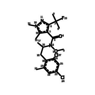 CON(C(=O)c1c(C(C)(C)F)nn(C)c1C)C(C)Cc1c(C)cc(Cl)cc1Cl